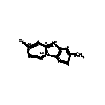 Cc1ccc2c(c1)nc1cc(I)ccn12